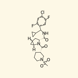 CS(=O)(=O)N1CCC[C@H](C(=O)N2[C@@H](C(=O)NC(c3cc(F)c(Cl)cc3F)C3CC3)C[C@H]3C[C@H]32)C1